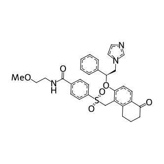 COCCNC(=O)c1ccc(S(=O)(=O)Cc2c(O[C@H](Cn3ccnc3)c3ccccc3)ccc3c2CCCC3=O)cc1